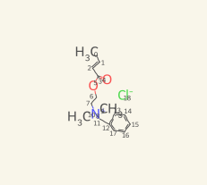 CC=CC(=O)OCC[N+](C)(C)Cc1ccccc1.[Cl-]